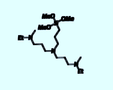 CCN(C)CCCN(CCCN(C)CC)CCC[Si](OC)(OC)OC